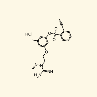 C=NN(CCOc1cc(C)cc(OS(=O)(=O)c2ccccc2C#N)c1)C(=N)N.Cl